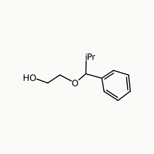 CC(C)C(OCCO)c1ccccc1